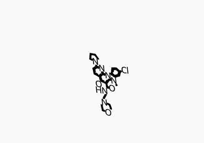 Cn1c2cc(Cl)ccc2n2c3nc(N4CCCC4)ccc3c(=O)c(C(=O)NCCN3CCOCC3)c12